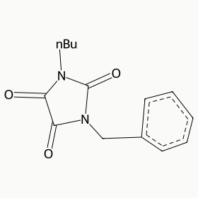 CCCCN1C(=O)C(=O)N(Cc2ccccc2)C1=O